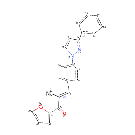 N#C/C(=C\c1ccc(-n2ccc(-c3ccccc3)n2)cc1)C(=O)c1ccco1